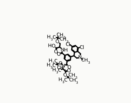 CC(C(=O)OC(C)(C)C)N(OC(C)(C)C)C(=O)c1cc(C(=O)NC(COC(C)(C)C)C(=O)O)cc(C2CN(C)Cc3c(Cl)cc(Cl)cc32)c1